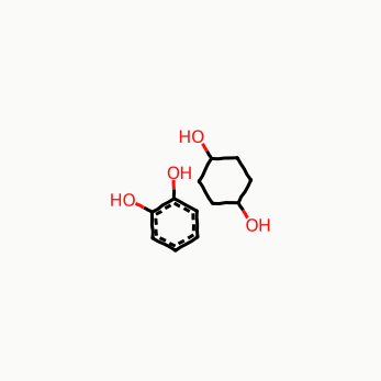 OC1CCC(O)CC1.Oc1ccccc1O